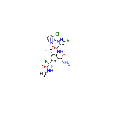 CNC(=O)C(F)(F)c1cc(C)c(NC(=O)c2cc(Br)nn2C2NC=CC=C2Cl)c(C(N)=O)c1